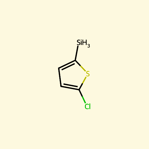 [SiH3]c1ccc(Cl)s1